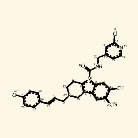 N#Cc1cc2c3c(n(C(=O)NCc4ccnc(Cl)c4)c2cc1Cl)CCN(CC=Cc1ccc(Cl)cc1)C3